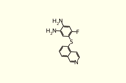 Nc1cc(F)c(Sc2cccc3cnccc23)cc1N